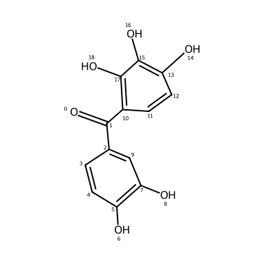 O=C(c1ccc(O)c(O)c1)c1ccc(O)c(O)c1O